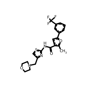 Cc1oc(-c2cccc(C(F)(F)F)c2)cc1C(=O)Nc1nc(CN2CCOCC2)cs1